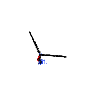 C#CC#CC#CC#CC#CC#CC#CC#CC#CC#CC#CC#CC#CC#CC#CN(C#CC#CC#CC#CC#CC#CC#CC#CC#CC#CC#CC#CC#CC#CC#C)CCOCCOC(=O)C(N)Cc1cnc[nH]1